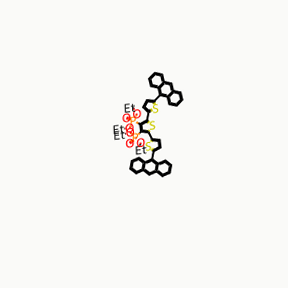 CCOP(=O)(OCC)c1c(-c2ccc(-c3c4ccccc4cc4ccccc34)s2)sc(-c2ccc(-c3c4ccccc4cc4ccccc34)s2)c1P(=O)(OCC)OCC